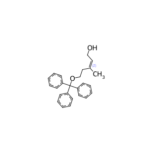 C/C(=C/CO)CCOC(c1ccccc1)(c1ccccc1)c1ccccc1